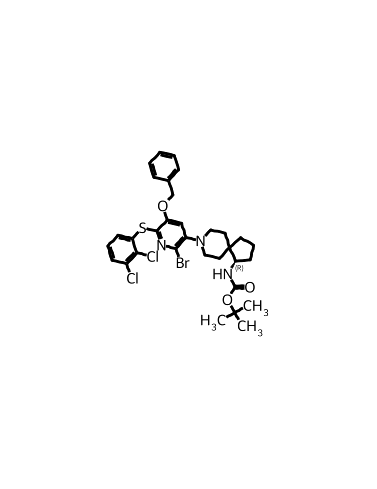 CC(C)(C)OC(=O)N[C@@H]1CCCC12CCN(c1cc(OCc3ccccc3)c(Sc3cccc(Cl)c3Cl)nc1Br)CC2